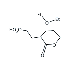 CCOCC.O=C(O)CCC1CCCOC1=O